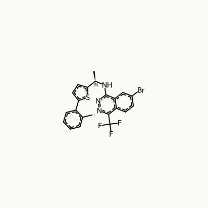 [CH2]c1ccccc1-c1ccc([C@@H](C)Nc2nnc(C(F)(F)F)c3ccc(Br)cc23)s1